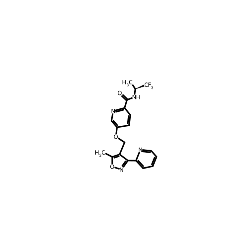 Cc1onc(-c2ccccn2)c1COc1ccc(C(=O)N[C@@H](C)C(F)(F)F)nc1